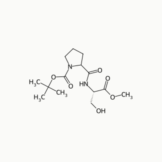 COC(=O)[C@H](CO)NC(=O)C1CCCN1C(=O)OC(C)(C)C